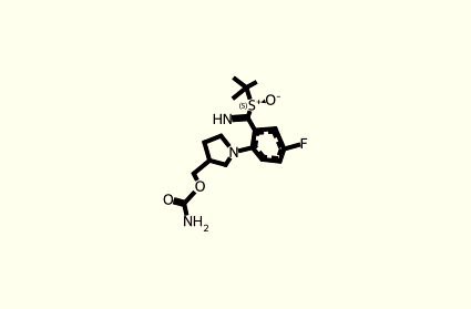 CC(C)(C)[S@@+]([O-])C(=N)c1cc(F)ccc1N1CCC(COC(N)=O)C1